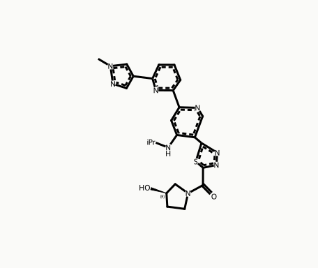 CC(C)Nc1cc(-c2cccc(-c3cnn(C)c3)n2)ncc1-c1nnc(C(=O)N2CC[C@@H](O)C2)s1